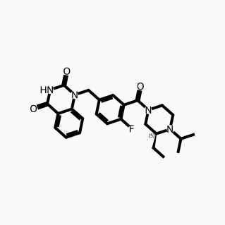 CC[C@H]1CN(C(=O)c2cc(Cn3c(=O)[nH]c(=O)c4ccccc43)ccc2F)CCN1C(C)C